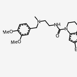 CCc1cc2c(s1)SCCN2C(=O)NCCN(C)Cc1ccc(OC)c(OC)c1